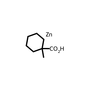 CC1(C(=O)O)CCCCC1.[Zn]